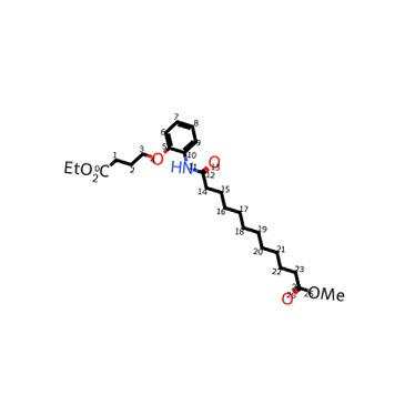 CCOC(=O)CCCOc1ccccc1NC(=O)CCCCCCCCCCC(=O)OC